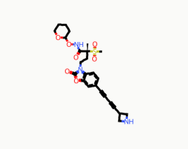 C[C@@](CCn1c(=O)oc2cc(C#CC#CC3CNC3)ccc21)(C(=O)NOC1CCCCO1)S(C)(=O)=O